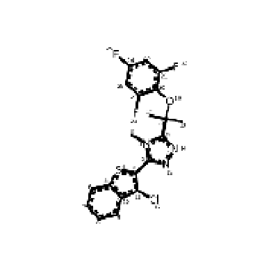 Cn1c(-c2sc3ccccc3c2Cl)nnc1C(C)(C)Oc1c(F)cc(F)cc1F